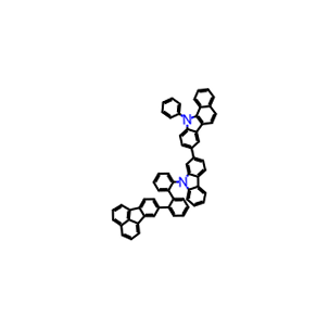 c1ccc(-n2c3ccc(-c4ccc5c6ccccc6n(-c6ccccc6-c6ccccc6-c6ccc7c(c6)-c6cccc8cccc-7c68)c5c4)cc3c3ccc4ccccc4c32)cc1